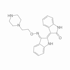 O=C1Nc2ccccc2/C1=C1/Nc2ccccc2/C1=N\OCCN1CCNCC1